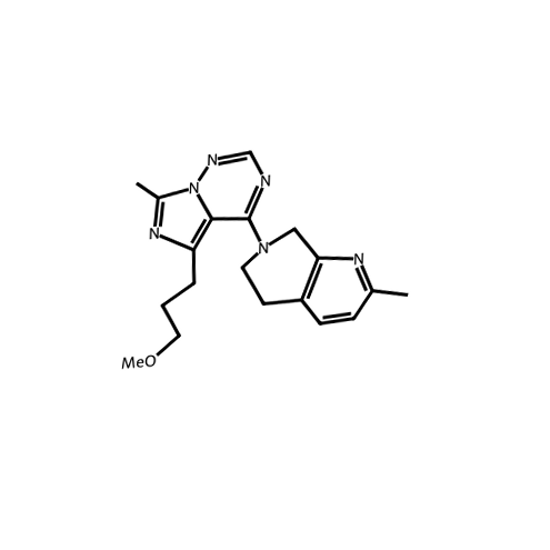 COCCCc1nc(C)n2ncnc(N3CCc4ccc(C)nc4C3)c12